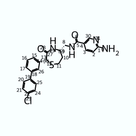 Nc1ccc(C(=O)NC[C@@H]2CCS[C@H](c3cccc(-c4ccc(Cl)cc4)c3)C(=O)N2)cn1